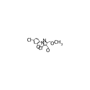 COCc1nn(-c2ccc(Cl)cc2Cl)c(Cl)c1C=O